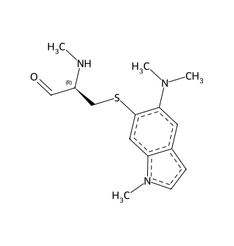 CN[C@H](C=O)CSc1cc2c(ccn2C)cc1N(C)C